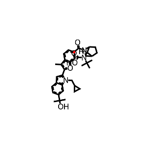 Cc1c(-c2cc3ccc(C(C)(C)O)cc3n2CC2CC2)oc2cc(C(=O)N3CC4CCC3[C@@H]4N(C(=O)O)C(C)(C)C)ccc12